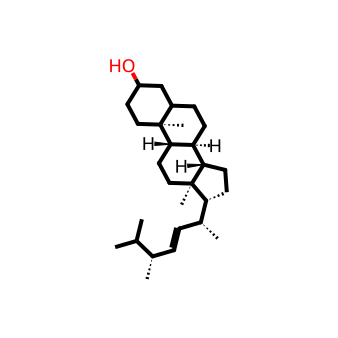 CC(C)[C@@H](C)C=C[C@@H](C)[C@H]1CC[C@H]2[C@@H]3CCC4CC(O)CC[C@]4(C)[C@H]3CC[C@]12C